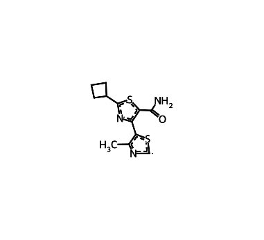 Cc1n[c]sc1-c1nc(C2CCC2)sc1C(N)=O